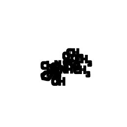 COc1cc(Nc2ncc(Cl)c(N3CCCC[C@H]3C(=O)O)n2)cc(OC)c1OC